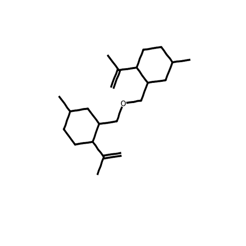 C=C(C)C1CCC(C)CC1COCC1CC(C)CCC1C(=C)C